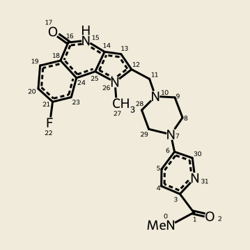 CNC(=O)c1ccc(N2CCN(Cc3cc4[nH]c(=O)c5ccc(F)cc5c4n3C)CC2)cn1